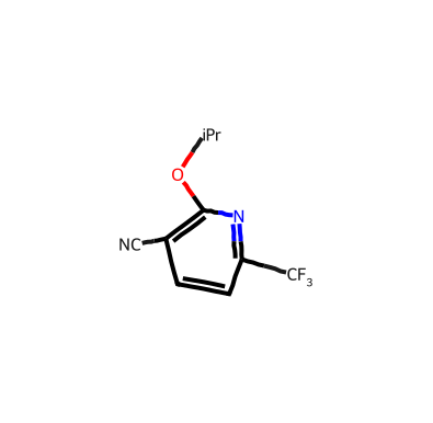 CC(C)Oc1nc(C(F)(F)F)ccc1C#N